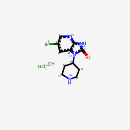 Cl.Cl.O=c1[nH]c2ncc(Br)cc2n1C1CCNCC1